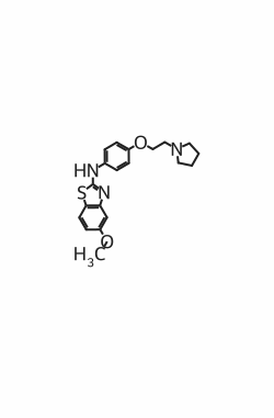 COc1ccc2sc(Nc3ccc(OCCN4CCCC4)cc3)nc2c1